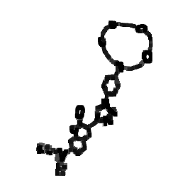 CCN(CC)c1ccc2cc(-c3cn(-c4ccc(N5CCOCCOCCOCCOCC5)cc4)nn3)c(=O)oc2c1